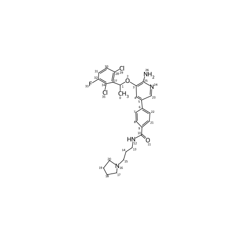 CC(Oc1cc(-c2ccc(C(=O)NCCCN3CCCC3)cc2)cnc1N)c1c(Cl)ccc(F)c1Cl